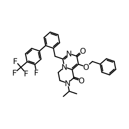 CC(C)N1CCn2c(Cc3ccccc3-c3ccc(C(F)(F)F)c(F)c3)nc(=O)c(OCc3ccccc3)c2C1=O